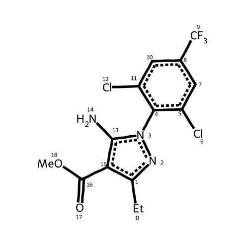 CCc1nn(-c2c(Cl)cc(C(F)(F)F)cc2Cl)c(N)c1C(=O)OC